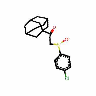 O=C(C[S+]([O-])c1ccc(Cl)cc1)C12CC3CC(CC(C3)C1)C2